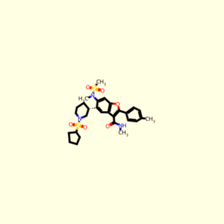 CNC(=O)c1c(-c2ccc(C)cc2)oc2cc(N(C)S(C)(=O)=O)c([C@H]3CCCN(S(=O)(=O)C4CCCC4)C3)cc12